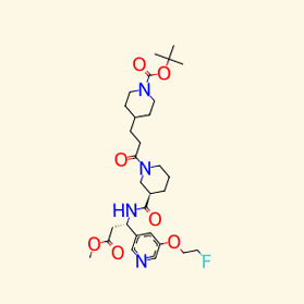 COC(=O)C[C@H](NC(=O)[C@@H]1CCCN(C(=O)CCC2CCN(C(=O)OC(C)(C)C)CC2)C1)c1cncc(OCCF)c1